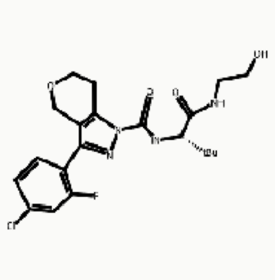 CC(C)(C)[C@H](NC(=O)n1nc(-c2ccc(Cl)cc2F)c2c1CCOC2)C(=O)NCCO